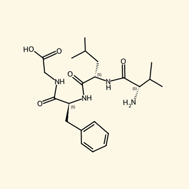 CC(C)C[C@H](NC(=O)[C@@H](N)C(C)C)C(=O)N[C@@H](Cc1ccccc1)C(=O)NCC(=O)O